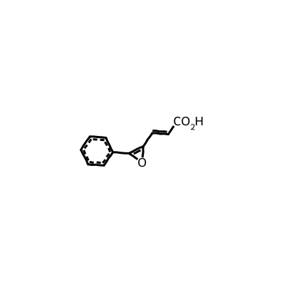 O=C(O)C=CC1=C(c2ccccc2)O1